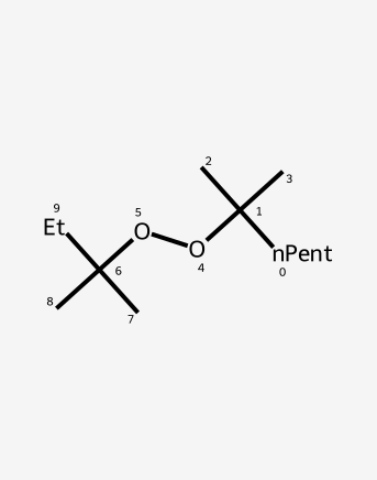 CCCCCC(C)(C)OOC(C)(C)CC